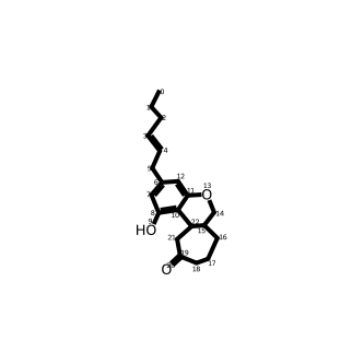 CCCC=CCc1cc(O)c2c(c1)OCC1CCCC(=O)CC21